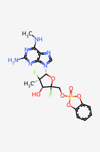 CNc1nc(N)nc2c1ncn2[C@@H]1O[C@](F)(COP2(=O)Oc3ccccc3O2)[C@@H](O)[C@@]1(C)F